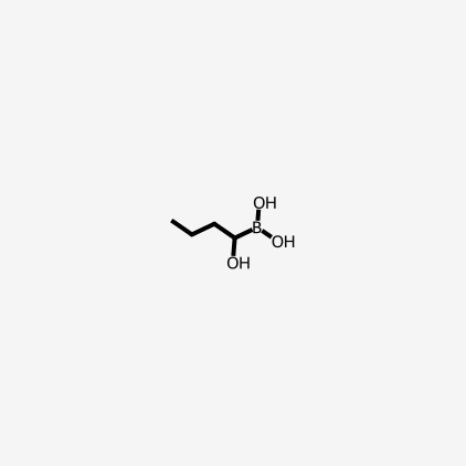 CCCC(O)B(O)O